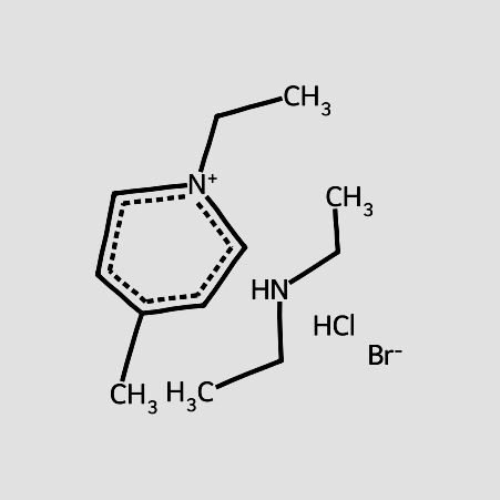 CCNCC.CC[n+]1ccc(C)cc1.Cl.[Br-]